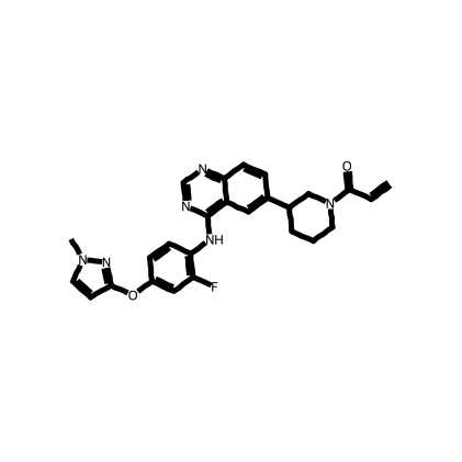 C=CC(=O)N1CCCC(c2ccc3ncnc(Nc4ccc(Oc5ccn(C)n5)cc4F)c3c2)C1